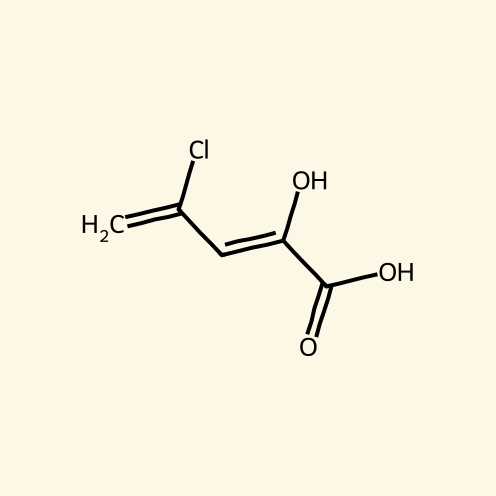 C=C(Cl)C=C(O)C(=O)O